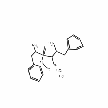 CCOP(=O)(C(N)Cc1ccccc1)C(O)C(N)Cc1ccccc1.Cl.Cl